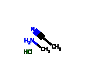 CC#N.CN.Cl